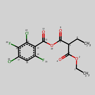 CCOC(=O)C(CC)C(=O)OC(=O)c1c(F)cc(Cl)c(F)c1Cl